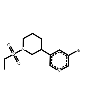 CCS(=O)(=O)N1CCCC(c2cncc(Br)c2)C1